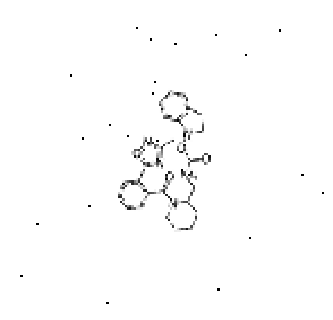 Cc1noc(-c2ccccc2C(=O)N2CCCCC2CNC(=O)ON2CCc3ccccc32)n1